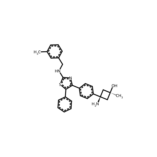 Cc1cccc(CNc2nc(-c3ccc([C@]4(N)C[C@@](C)(O)C4)cc3)c(-c3ccccc3)s2)c1